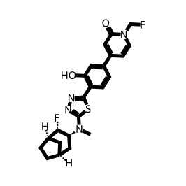 CN(c1nnc(-c2ccc(-c3ccn(CF)c(=O)c3)cc2O)s1)[C@@H]1C[C@H]2CC[C@H](C2)[C@@H]1F